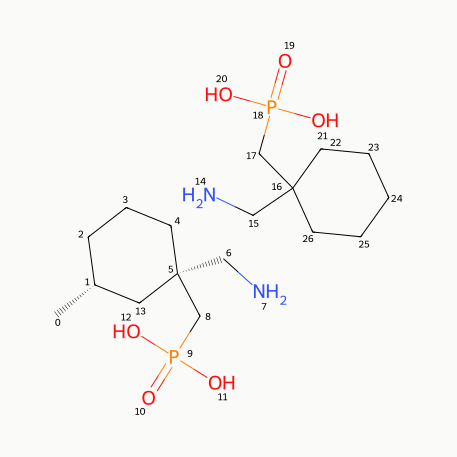 C[C@@H]1CCC[C@@](CN)(CP(=O)(O)O)C1.NCC1(CP(=O)(O)O)CCCCC1